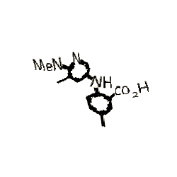 CNc1ncc(Nc2ccc(C)cc2C(=O)O)cc1C